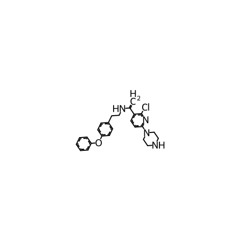 C=C(NCCc1ccc(Oc2ccccc2)cc1)c1ccc(N2CCNCC2)nc1Cl